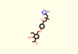 CCc1c(COc2ccc(C(=O)CC(C)(C)Cc3nnn[nH]3)cc2)ccc(C(C)=O)c1O